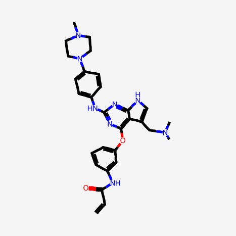 C=CC(=O)Nc1cccc(Oc2nc(Nc3ccc(N4CCN(C)CC4)cc3)nc3[nH]cc(CN(C)C)c23)c1